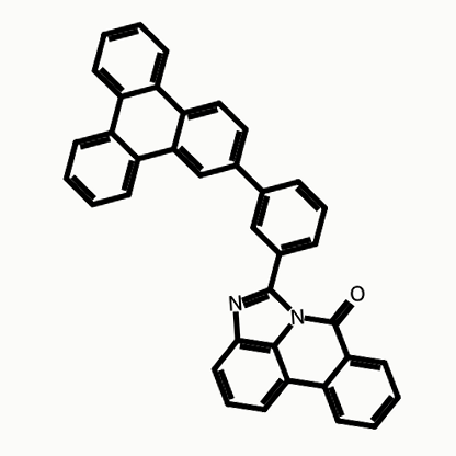 O=c1c2ccccc2c2cccc3nc(-c4cccc(-c5ccc6c7ccccc7c7ccccc7c6c5)c4)n1c32